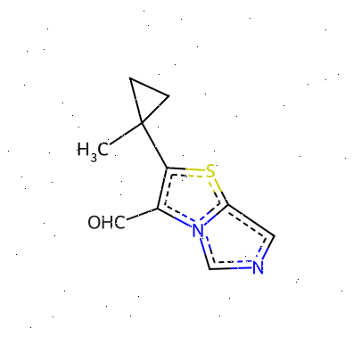 CC1(c2sc3cncn3c2C=O)CC1